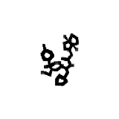 Cc1ccc(S(=O)(=O)N(CC(C)C)C[C@@H](O)C(Cc2ccccc2)NC(=O)O[C@H]2CO[C@H]3OCC[C@H]32)cc1